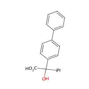 CC(C)C(O)(C(=O)O)c1ccc(-c2ccccc2)cc1